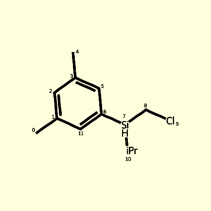 Cc1cc(C)cc([SiH](CCl)C(C)C)c1